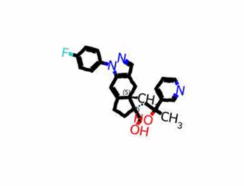 CC(O)(C[C@]1(CO)CCC2=Cc3c(cnn3-c3ccc(F)cc3)C[C@@]21C)c1cccnc1